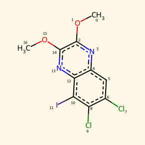 COc1nc2cc(Cl)c(Cl)c(I)c2nc1OC